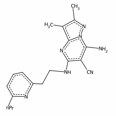 CCCc1cccc(CCNc2nc3c(C)c(C)nn3c(N)c2C#N)n1